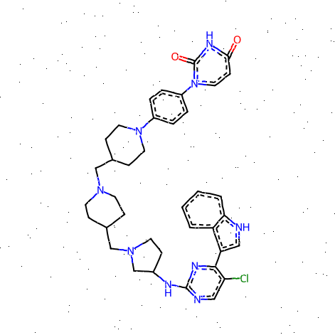 O=c1ccn(-c2ccc(N3CCC(CN4CCC(CN5CCC(Nc6ncc(Cl)c(-c7c[nH]c8ccccc78)n6)C5)CC4)CC3)cc2)c(=O)[nH]1